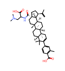 C=C(C)[C@@H]1CC[C@]2(C(=O)NC(CN(C)C)C(=O)O)CC[C@]3(C)[C@H](CC[C@@H]4[C@@]5(C)CC=C(c6ccc(C(=O)O)c(C)c6)C(C)(C)[C@@H]5CC[C@]43C)[C@@H]12